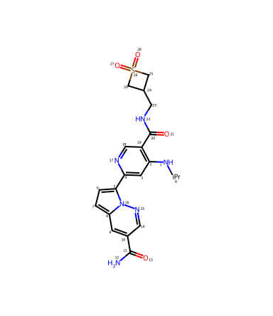 CC(C)Nc1cc(-c2ccc3cc(C(N)=O)cnn23)ncc1C(=O)NCC1CS(=O)(=O)C1